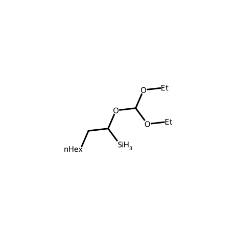 CCCCCCCC([SiH3])OC(OCC)OCC